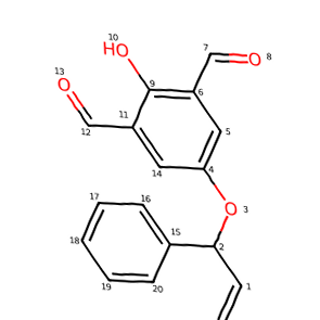 C=CC(Oc1cc(C=O)c(O)c(C=O)c1)c1ccccc1